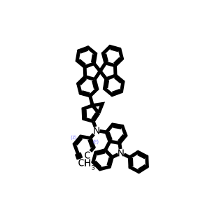 C#C/C=C\C(=C/C)N(C1=C2CC2(c2ccc3c(c2)C2(c4ccccc4-c4ccccc42)c2ccccc2-3)C=C1)c1cccc2c1c1ccccc1n2-c1ccccc1